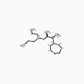 C=C(C[SiH](CCC)CCC)C(C)N1CCCCCC1